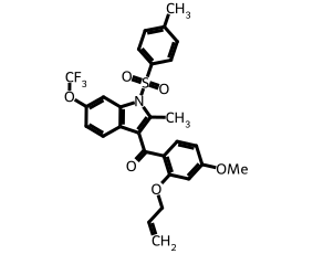 C=CCOc1cc(OC)ccc1C(=O)c1c(C)n(S(=O)(=O)c2ccc(C)cc2)c2cc(OC(F)(F)F)ccc12